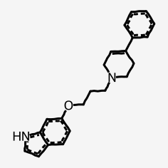 C1=C(c2ccccc2)CCN(CCCOc2ccc3cc[nH]c3c2)C1